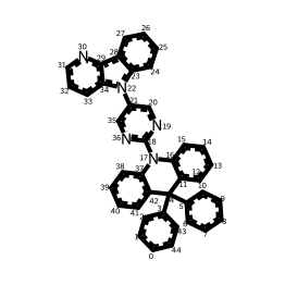 c1ccc(C2(c3ccccc3)c3ccccc3N(c3ncc(-n4c5ccccc5c5ncccc54)cn3)c3ccccc32)cc1